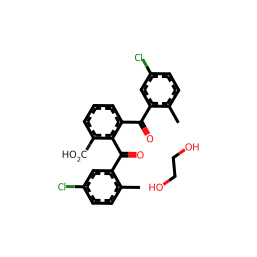 Cc1ccc(Cl)cc1C(=O)c1cccc(C(=O)O)c1C(=O)c1cc(Cl)ccc1C.OCCO